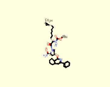 CC(C)(C)OC(=O)N[C@@H](CCCCC/C=C\[C@@H]1C[C@@H]1C(=O)O)C(=O)N1C[C@H](Oc2nc(-c3ccccc3)cc3c2CCCC3)C[C@H]1C(N)=O